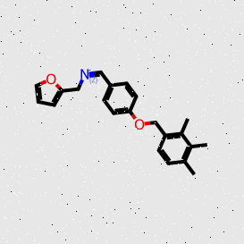 Cc1ccc(COc2ccc(/C=N\Cc3ccco3)cc2)c(C)c1C